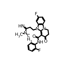 CN(C)C(=N)CCN1C2=C(C(=O)Nc3ccccc3F)C(=O)CCN2c2ccc(F)cc21